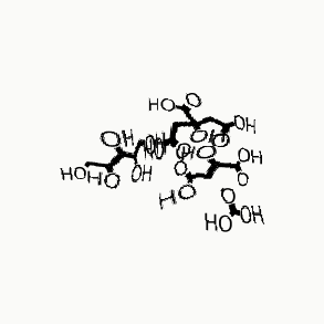 O=C(O)CC(O)(CC(=O)O)C(=O)O.O=C(O)CC(O)C(=O)O.O=C(O)O.OCC(O)C(O)C(O)CO